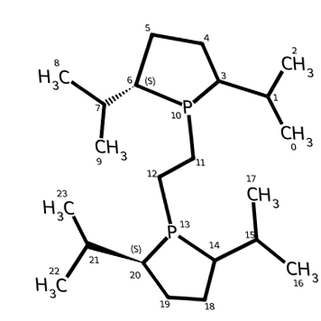 CC(C)C1CC[C@@H](C(C)C)P1CCP1C(C(C)C)CC[C@H]1C(C)C